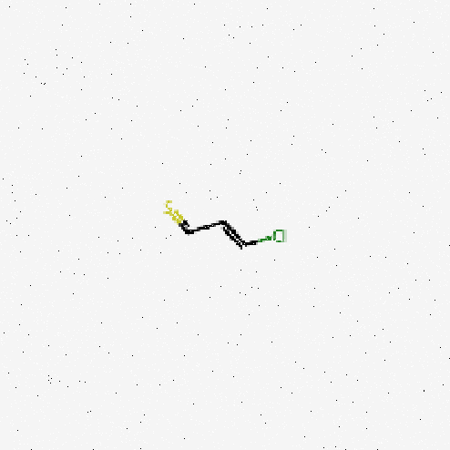 S=CC=CCl